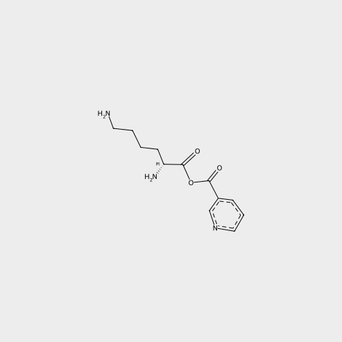 NCCCC[C@@H](N)C(=O)OC(=O)c1cccnc1